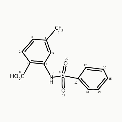 O=C(O)c1ccc(C(F)(F)F)cc1NS(=O)(=O)c1ccccc1